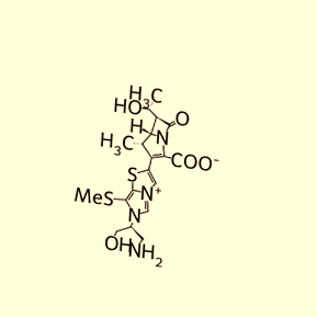 CSc1c2sc(C3=C(C(=O)[O-])N4C(=O)[C@H]([C@@H](C)O)[C@H]4[C@H]3C)c[n+]2cn1[C@@H](CN)CO